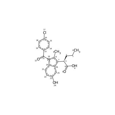 CCC[C@@H](C(=O)O)c1c(C)n(C(=O)c2ccc(Cl)cc2)c2ccc(O)cc12